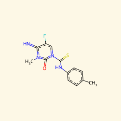 Cc1ccc(NC(=S)n2cc(F)c(=N)n(C)c2=O)cc1